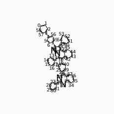 c1ccc(-c2ccc(-c3nn4c(-c5ccccc5)c(-c5ccc(-c6nc(-c7ccccc7)nc7ccccc67)cc5)c5ccccc5c4c3-c3ccccc3)cc2)cc1